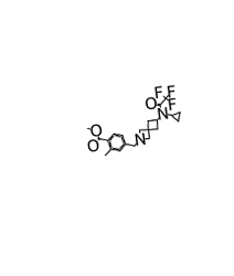 COC(=O)c1ccc(CN2CC3(CC(N(C(=O)C(F)(F)F)C4CC4)C3)C2)cc1C